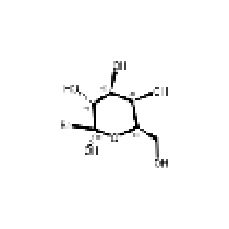 OC[C@H]1O[C@@](O)(Br)[C@H](O)[C@@H](O)[C@H]1O